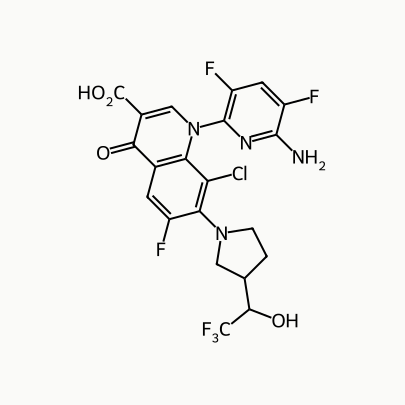 Nc1nc(-n2cc(C(=O)O)c(=O)c3cc(F)c(N4CCC(C(O)C(F)(F)F)C4)c(Cl)c32)c(F)cc1F